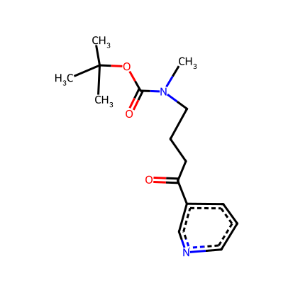 CN(CCCC(=O)c1cccnc1)C(=O)OC(C)(C)C